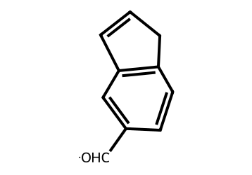 O=[C]c1ccc2c(c1)C=CC2